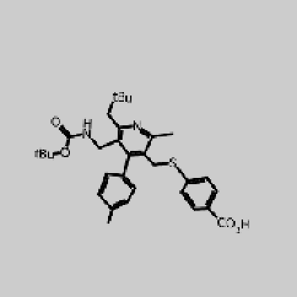 Cc1ccc(-c2c(CSc3ccc(C(=O)O)cc3)c(C)nc(CC(C)(C)C)c2CNC(=O)OC(C)(C)C)cc1